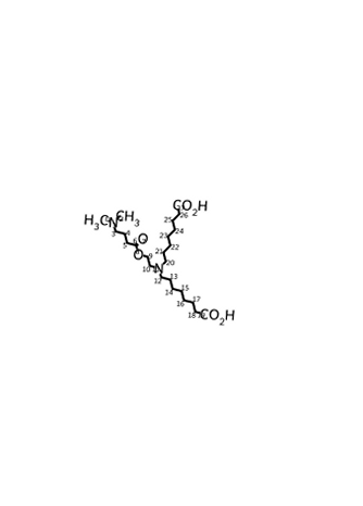 CN(C)CCCC(=O)OCCN(CCCCCCCC(=O)O)CCCCCCCC(=O)O